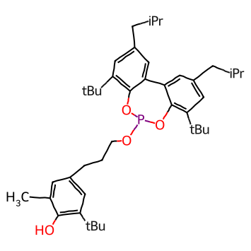 Cc1cc(CCCOp2oc3c(C(C)(C)C)cc(CC(C)C)cc3c3cc(CC(C)C)cc(C(C)(C)C)c3o2)cc(C(C)(C)C)c1O